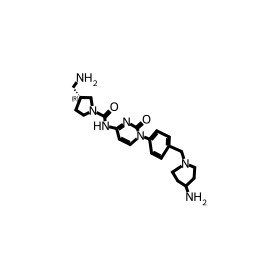 NC[C@H]1CCN(C(=O)Nc2ccn(-c3ccc(CN4CCC(N)CC4)cc3)c(=O)n2)C1